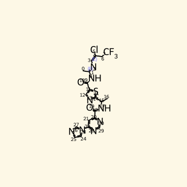 C/C(=N\C=C(\Cl)CC(F)(F)F)NC(=O)c1cnc(C(C)NC(=O)c2cc(-n3ccnc3)ncn2)s1